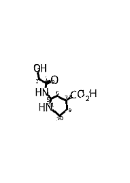 O=C(CO)NC1CC(C(=O)O)CCN1